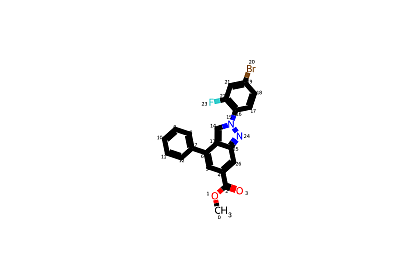 COC(=O)c1cc(-c2ccccc2)c2cn(-c3ccc(Br)cc3F)nc2c1